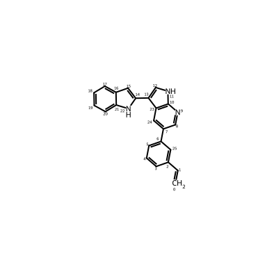 C=Cc1cccc(-c2cnc3[nH]cc(-c4cc5ccccc5[nH]4)c3c2)c1